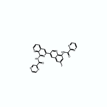 O=C(Nc1nc(-c2cnc3c(NC(=O)c4ncccn4)cc(F)cc3c2)cc2cccnc12)c1cnccn1